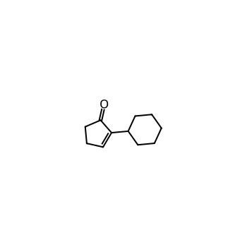 O=C1CCC=C1C1CCCCC1